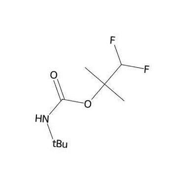 CC(C)(C)NC(=O)OC(C)(C)C(F)F